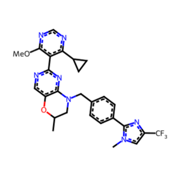 COc1ncnc(C2CC2)c1-c1ncc2c(n1)N(Cc1ccc(-c3nc(C(F)(F)F)cn3C)cc1)CC(C)O2